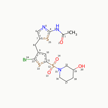 CC(=O)Nc1ncc(Cc2cc(S(=O)(=O)N3CCCC(O)C3)sc2Br)s1